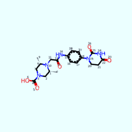 C[C@@H]1CN(C(=O)O)C[C@H](C)N1CC(=O)Nc1ccc(N2CCC(=O)NC2=O)cc1